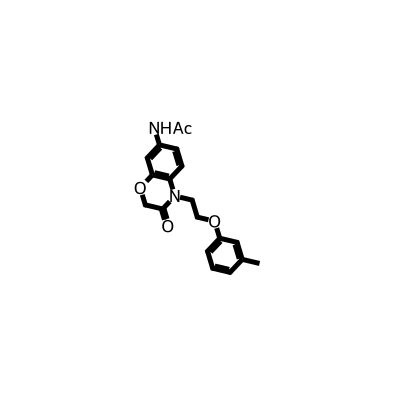 CC(=O)Nc1ccc2c(c1)OCC(=O)N2CCOc1cccc(C)c1